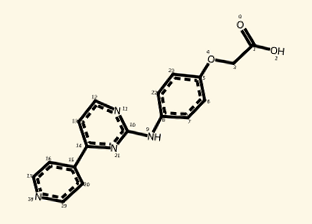 O=C(O)COc1ccc(Nc2nccc(-c3ccncc3)n2)cc1